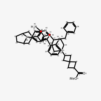 COC(=O)C1CC2(C1)CC(N1CCC(Oc3ccc(N4C5CCC4CN(c4cc(-c6ccccc6OCc6ccccc6)nnc4N)C5)cn3)CC1)C2